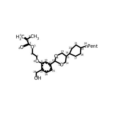 C=C(C)C(=O)OCCOc1cc(C2OCC(C3CCC(CCCCC)CC3)CO2)ccc1CO